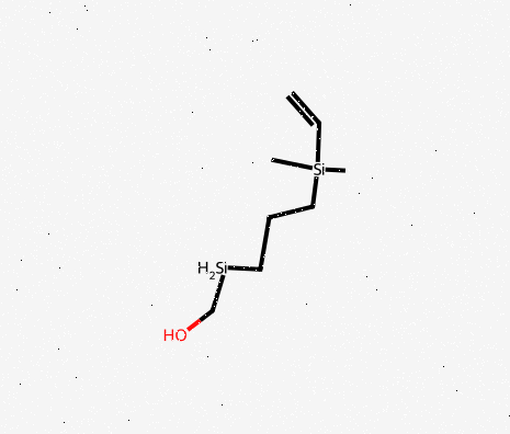 C=C[Si](C)(C)CCC[SiH2]CO